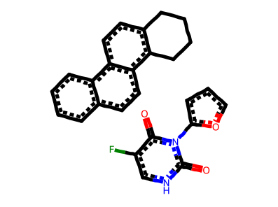 O=c1[nH]cc(F)c(=O)n1-c1ccco1.c1ccc2c(c1)ccc1c3c(ccc12)CCCC3